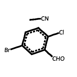 CC#N.O=Cc1cc(Br)ccc1Cl